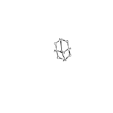 O1[As]2O[As]3O[As]1O[As](O2)O3